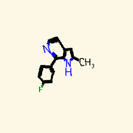 Cc1cc2ccnc(-c3ccc(F)cc3)c2[nH]1